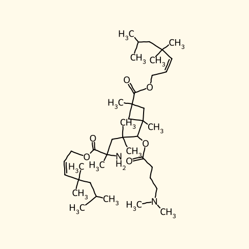 CC(C)CC(C)(C)/C=C\COC(=O)C(C)(N)CC(C)(C)C(OC(=O)CCCN(C)C)C1(C)CC(C)(C(=O)OC/C=C\C(C)(C)CC(C)C)C1